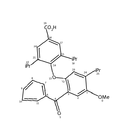 COc1cc(C(=O)c2ccccc2)c(Oc2c(C(C)C)cc(C(=O)O)cc2C(C)C)cc1C(C)C